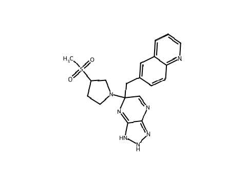 CS(=O)(=O)C1CCN(C2(Cc3ccc4ncccc4c3)C=NC3=NNNC3=N2)C1